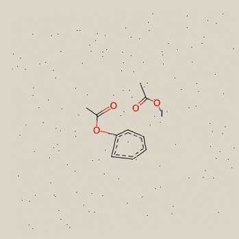 CC(=O)OI.CC(=O)Oc1ccccc1